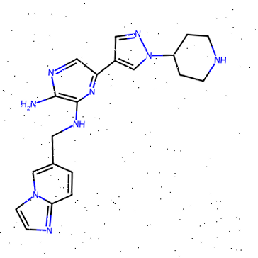 Nc1ncc(-c2cnn(C3CCNCC3)c2)nc1NCc1ccc2nccn2c1